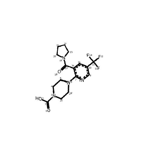 O=C(O)N1CCN(c2ncc(C(F)(F)F)cc2C(=O)N2CCCC2)CC1